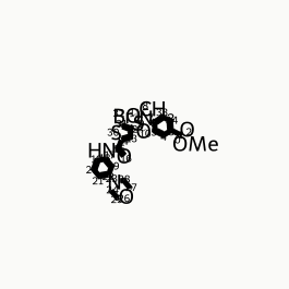 COC(=O)c1ccc(N(C)S(=O)(=O)c2cc(C(=O)Nc3cccc(N4CCOCC4)c3)sc2Br)cc1